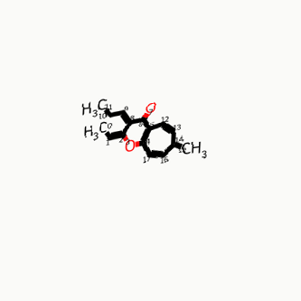 C/C=c1/oc2c(c(=O)/c1=C/CC)C=CC(C)C=C2